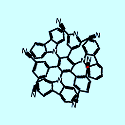 N#Cc1cc(C#N)cc(-c2c(-n3c4ccccc4c4ccccc43)c(-c3cc(C#N)nc(C#N)c3)c(-n3c4ccccc4c4ccccc43)c(-c3cc(C#N)ccc3C#N)c2-n2c3ccccc3c3ccccc32)c1